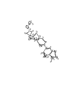 Cn1nnc2cc(-c3ccc4cc(C5(O)CC(OC(F)(F)F)C5)sc4n3)cnc21